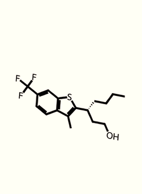 CCCC[C@H](CCO)c1sc2cc(C(F)(F)F)ccc2c1C